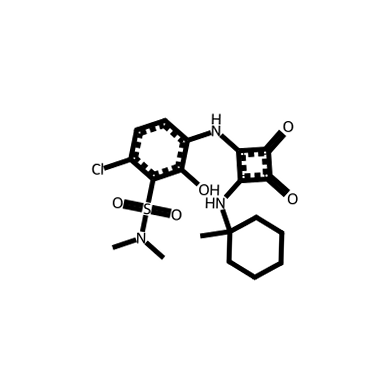 CN(C)S(=O)(=O)c1c(Cl)ccc(Nc2c(NC3(C)CCCCC3)c(=O)c2=O)c1O